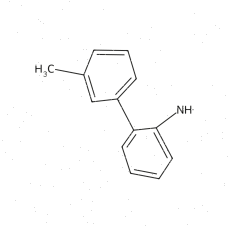 Cc1cccc(-c2ccccc2[NH])c1